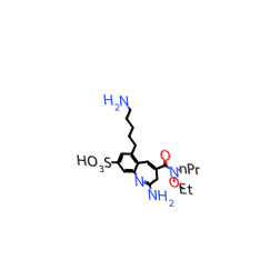 CCCN(OCC)C(=O)C1=Cc2c(CCCCCN)cc(S(=O)(=O)O)cc2N=C(N)C1